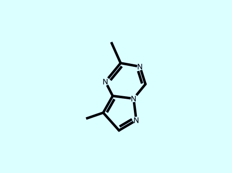 Cc1ncn2ncc(C)c2n1